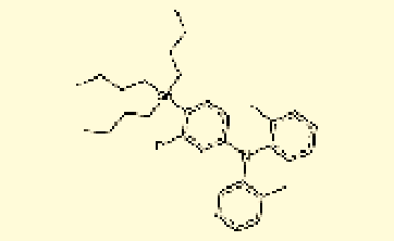 CCC[CH2][Sn]([CH2]CCC)([CH2]CCC)[c]1ccc(N(c2ccccc2C)c2ccccc2C)cc1F